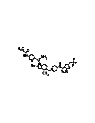 C=CC(=O)Nc1ccc(C2C(N)C2n2c(C#N)cc3c(C)c(CN4CCC(Nc5ncnc6sc(CC(F)(F)F)cc56)CC4)ccc32)nc1